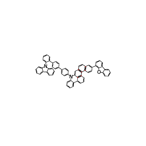 c1ccc(-c2cccc(-c3ccccc3N(c3ccc(-c4ccc(-c5ccccc5-n5c6ccccc6c6ccccc65)cc4)cc3)c3ccc(-c4ccc(-c5cccc6c5oc5ccccc56)cc4)cc3)c2)cc1